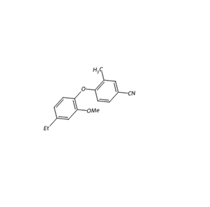 CCc1ccc(Oc2ccc(C#N)cc2C)c(OC)c1